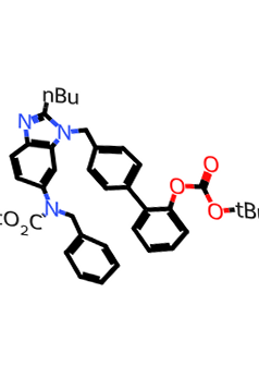 CCCCc1nc2ccc(N(Cc3ccccc3)C(=O)OCC)cc2n1Cc1ccc(-c2ccccc2OC(=O)OC(C)(C)C)cc1